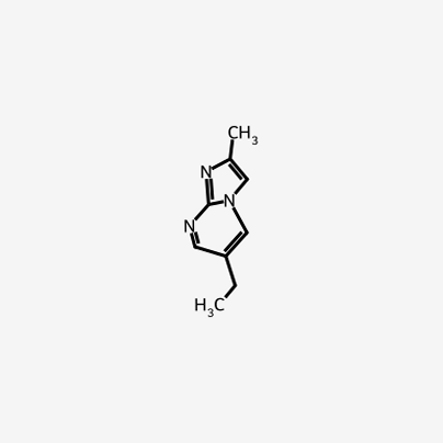 CCc1cnc2nc(C)cn2c1